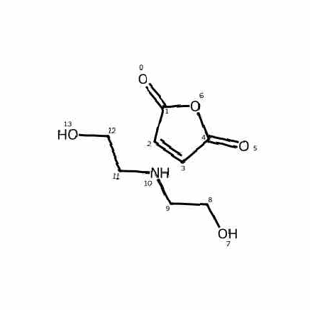 O=C1C=CC(=O)O1.OCCNCCO